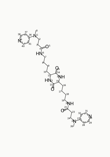 CN(CCC(=O)NCCCCC1NC(=O)C(CCCCNC(=O)CCN(C)c2ccncc2)NC1=O)c1ccncc1